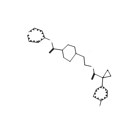 N[C@H](CNC(=O)C1(c2ccc(F)cc2)CC1)C1CCC(C(=O)Nc2ccncc2)CC1